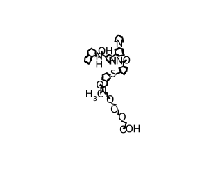 CN(CCOCCOCCOCCC(=O)O)C(=O)Cc1cccc(SCc2cccc(C(=O)Nc3ccc(N4CCCCC4)cc3-c3cc(C(O)N[C@H]4CCCc5ccccc54)ccn3)c2)c1